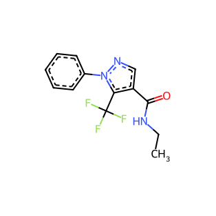 CCNC(=O)c1cnn(-c2ccccc2)c1C(F)(F)F